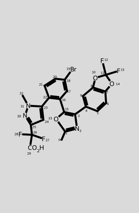 Cc1nc(-c2ccc3c(c2)OC(F)(F)O3)c(-c2cc(Br)ccc2-c2cc(C(F)(F)C(=O)O)nn2C)o1